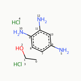 CCO.Cl.Cl.Nc1ccc(N)c(N)c1